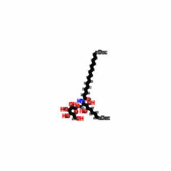 CCCCCCCCCCCCCCCCCCCCCCCCCC(=O)N[C@@H](COC1OC(CO)C(O)C(O)C1O)[C@H](O)[C@H](O)CCCCCCCCCCCCCC